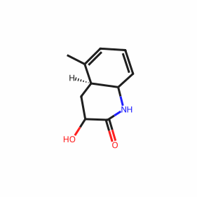 CC1=CC=CC2NC(=O)C(O)C[C@@H]12